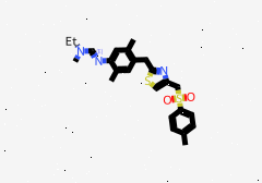 CCN(C)/C=N/c1cc(C)c(Cc2nc(CS(=O)(=O)c3ccc(C)cc3)cs2)cc1C